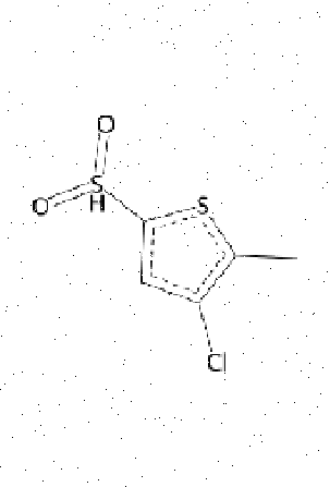 Cc1sc([SH](=O)=O)cc1Cl